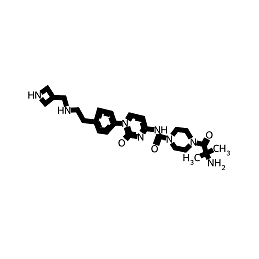 CC(C)(N)C(=O)N1CCN(C(=O)Nc2ccn(-c3ccc(CCNCC4CNC4)cc3)c(=O)n2)CC1